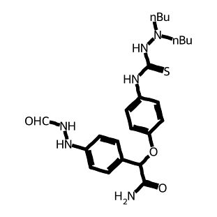 CCCCN(CCCC)NC(=S)Nc1ccc(OC(C(N)=O)c2ccc(NNC=O)cc2)cc1